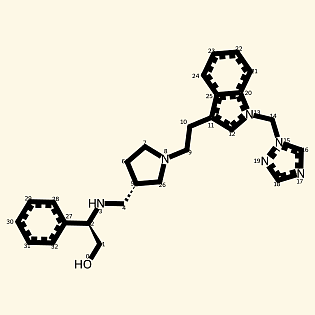 OC[C@H](NC[C@@H]1CCN(CCc2cn(Cn3cncn3)c3ccccc23)C1)c1ccccc1